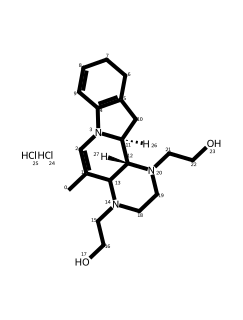 CC1=CN2C3=C(CCC=C3)C[C@H]2[C@H]2C1N(CCO)CCN2CCO.Cl.Cl